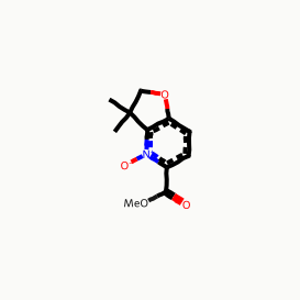 COC(=O)c1ccc2c([n+]1[O-])C(C)(C)CO2